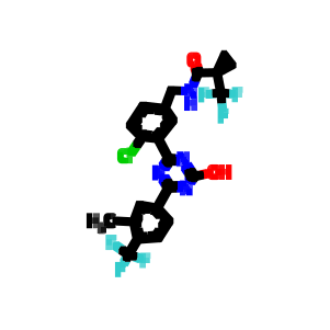 Cc1cc(-c2nc(O)nc(-c3cc(CNC(=O)C4(C(F)(F)F)CC4)ccc3Cl)n2)ccc1C(F)(F)F